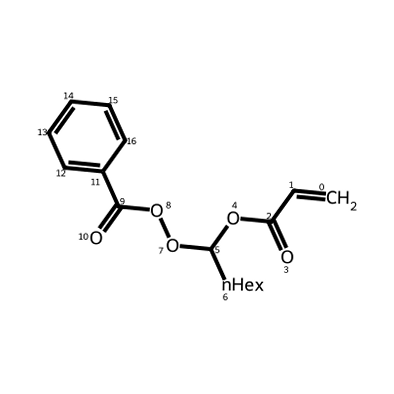 C=CC(=O)OC(CCCCCC)OOC(=O)c1ccccc1